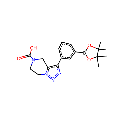 CC1(C)OB(c2cccc(-c3nnn4c3CN(C(=O)O)CC4)c2)OC1(C)C